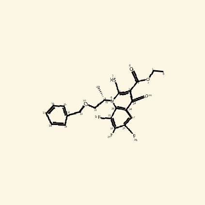 CCOC(=O)c1c(S)n([C@@H](C)COCc2ccccc2)c2c(F)c(F)c(F)cc2c1=O